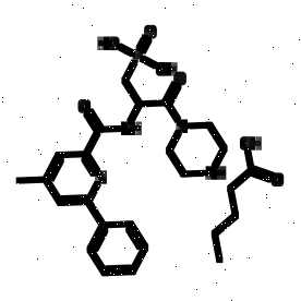 CCCCC(=O)O.Cc1cc(C(=O)NC(CP(=O)(O)O)C(=O)N2CCNCC2)nc(-c2ccccc2)c1